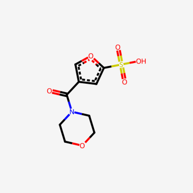 O=C(c1coc(S(=O)(=O)O)c1)N1CCOCC1